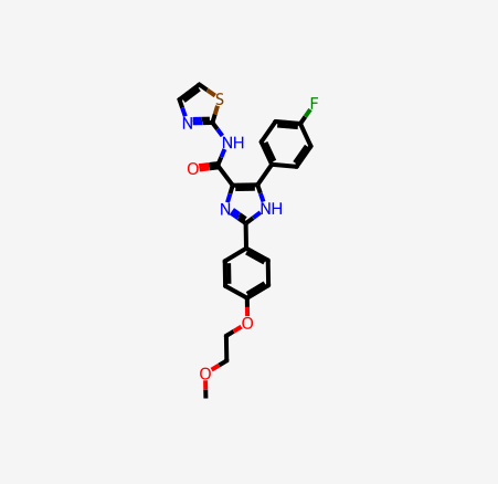 COCCOc1ccc(-c2nc(C(=O)Nc3nccs3)c(-c3ccc(F)cc3)[nH]2)cc1